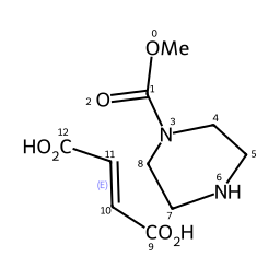 COC(=O)N1CCNCC1.O=C(O)/C=C/C(=O)O